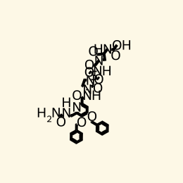 NC(=O)NCc1nc(C(=O)NN2CCN(S(=O)(=O)NC(=O)N3CC(NC(=O)O)C3=O)C2=O)cc(OCc2ccccc2)c1OCc1ccccc1